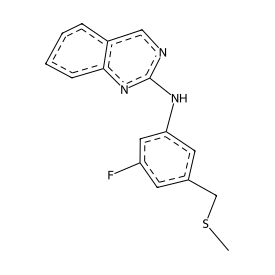 CSCc1cc(F)cc(Nc2ncc3ccccc3n2)c1